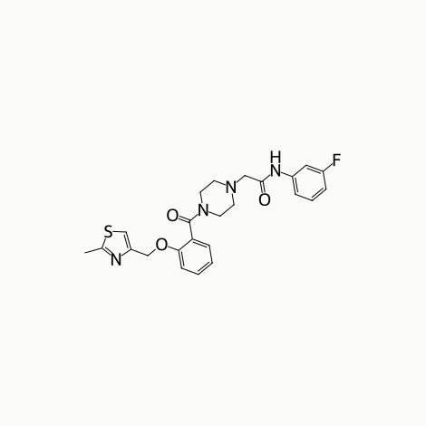 Cc1nc(COc2ccccc2C(=O)N2CCN(CC(=O)Nc3cccc(F)c3)CC2)cs1